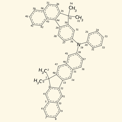 CC1(C)c2cc3ccccc3cc2-c2cc3ccc(N(c4ccccc4)c4ccc5c(c4)C(C)(C)c4ccc6ccccc6c4-5)cc3cc21